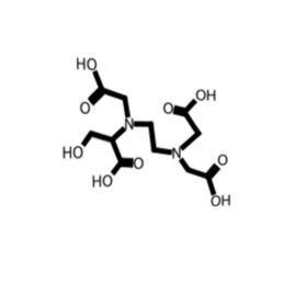 O=C(O)CN(CCN(CC(=O)O)C(CO)C(=O)O)CC(=O)O